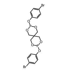 Brc1ccc(OP2OCC3(CO2)COP(Oc2ccc(Br)cc2)OC3)cc1